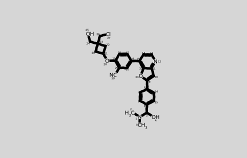 CN(C)C(O)c1ccc(-c2cc3nccc(-c4ccc(OC5CC(CO)(CCl)C5)c(C#N)c4)c3o2)cc1